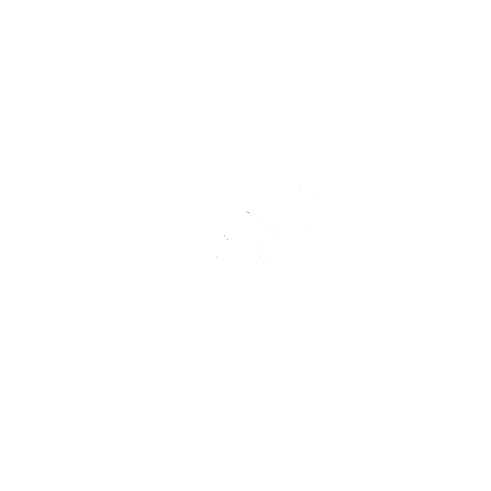 CC1(C)S[C@H]2C(NC(c3ccccc3)(c3ccccc3)c3ccccc3)C(=O)N2C1C(=O)O